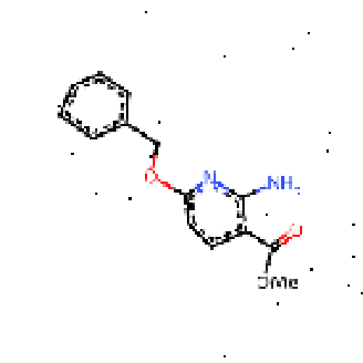 COC(=O)c1ccc(OCc2ccccc2)nc1N